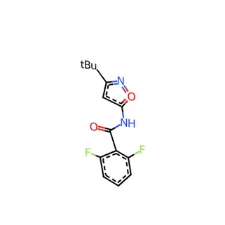 CC(C)(C)c1cc(NC(=O)c2c(F)cccc2F)on1